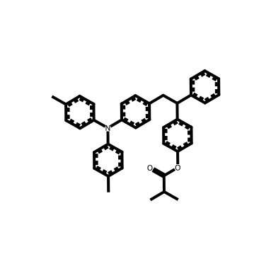 Cc1ccc(N(c2ccc(C)cc2)c2ccc(CC(c3ccccc3)c3ccc(OC(=O)C(C)C)cc3)cc2)cc1